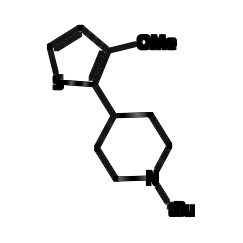 COc1ccsc1C1CCN(C(C)(C)C)CC1